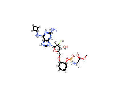 COC(=O)[C@H](C)/N=[P+](\[O-])Oc1ccccc1OC[C@H]1O[C@@H](n2cnc3c(NC4CCC4)nc(N)nc32)[C@](C)(F)[C@@H]1O